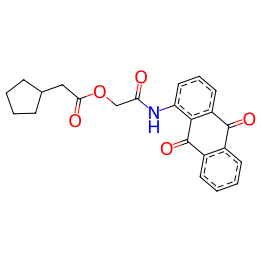 O=C(COC(=O)CC1CCCC1)Nc1cccc2c1C(=O)c1ccccc1C2=O